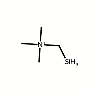 C[N+](C)(C)C[SiH3]